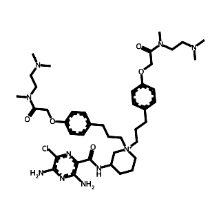 CN(C)CCN(C)C(=O)COc1ccc(CCC[N+]2(CCCc3ccc(OCC(=O)N(C)CCN(C)C)cc3)CCCC(NC(=O)c3nc(Cl)c(N)nc3N)C2)cc1